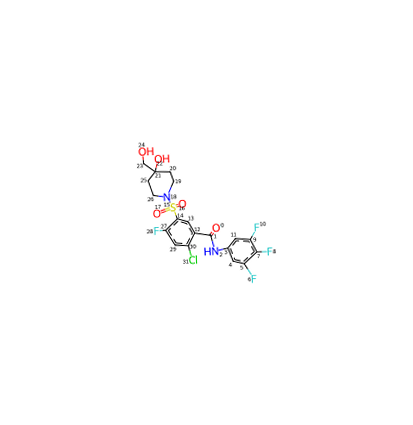 O=C(Nc1cc(F)c(F)c(F)c1)c1cc(S(=O)(=O)N2CCC(O)(CO)CC2)c(F)cc1Cl